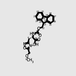 COCc1nc(C[C@H](NC(=O)OCC2c3ccccc3-c3ccccc32)C(=O)O)no1